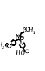 COCCc1nc(-c2ccc(OC)cc2)c(N2CCC(C(=O)O)CC2)o1